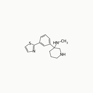 CNC1(c2cccc(-c3nccs3)c2)CCCNC1